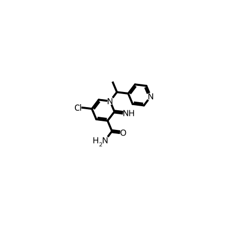 CC(c1ccncc1)n1cc(Cl)cc(C(N)=O)c1=N